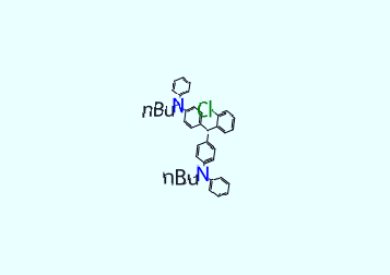 CCCCN(c1ccccc1)c1ccc(C(c2ccc(N(CCCC)c3ccccc3)cc2)c2ccccc2Cl)cc1